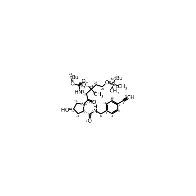 C#Cc1ccc(CNC(=O)[C@@H]2C[C@@H](O)CN2C(=O)[C@H](NC(=O)OC(C)(C)C)C(C)(C)CCO[Si](C)(C)C(C)(C)C)cc1